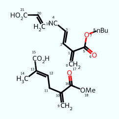 C=C(C=CC#N)C(=O)OCCCC.C=C(CC=C(C)C(=O)O)C(=O)OC.C=CC(=O)O